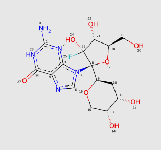 Nc1nc2c(ncn2[C@]2([C@H]3C[C@H](O)[C@H](O)CO3)O[C@H](CO)[C@@H](O)[C@]2(O)F)c(=O)[nH]1